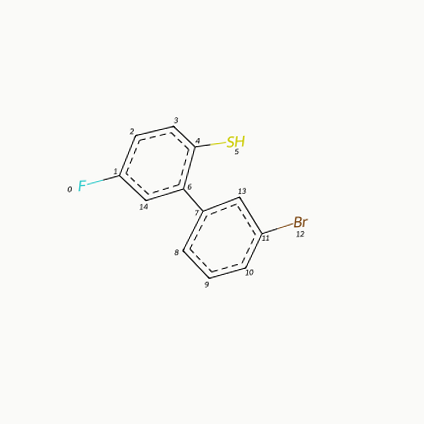 Fc1ccc(S)c(-c2cccc(Br)c2)c1